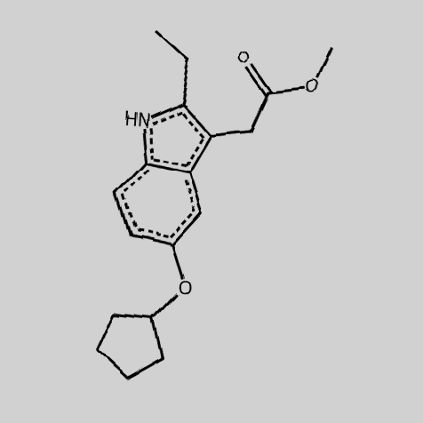 CCc1[nH]c2ccc(OC3CCCC3)cc2c1CC(=O)OC